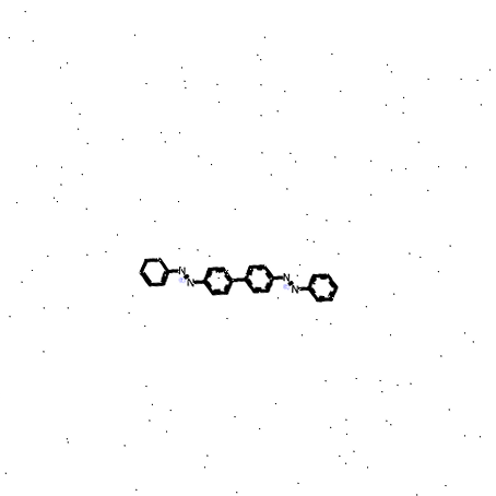 C1=CCCC(/N=N/c2ccc(-c3ccc(/N=N/c4ccccc4)cc3)cc2)=C1